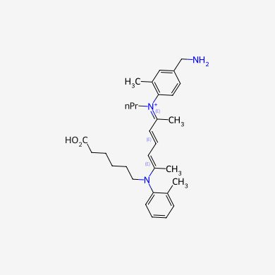 CCC\[N+](=C(C)/C=C/C=C(\C)N(CCCCCC(=O)O)c1ccccc1C)c1ccc(CN)cc1C